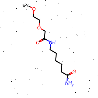 CCCOCCOCC(=O)NCCCCCC(N)=O